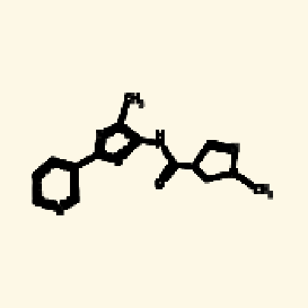 Cc1nc(-c2cccnc2)sc1NC(=O)C1C=NN(C)C1